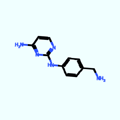 NCc1ccc(Nc2nccc(N)n2)cc1